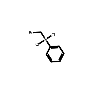 Cl[Si](Cl)(CBr)c1ccccc1